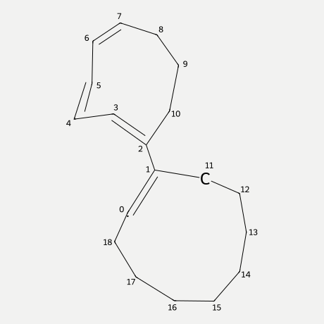 [C]1=C(/C2=C\C=C\C=C/CCC2)CCCCCCCC/1